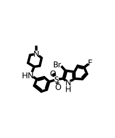 CN1CCC(Nc2cccc(S(=O)(=O)c3[nH]c4ccc(F)cc4c3Br)c2)CC1